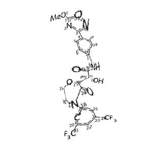 COc1nc(-c2ccc(NC(=O)[C@H](O)[C@H]3OCCN(c4cc(C(F)(F)F)cc(C(F)(F)F)c4)C3=O)cc2)no1